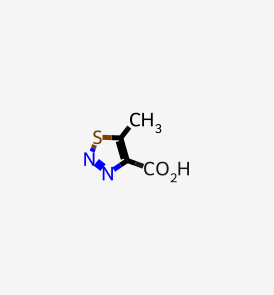 Cc1snnc1C(=O)O